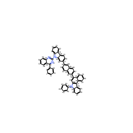 c1ccc(-c2nc(-n3c4ccccc4c4ccc(-c5ccc6cc(-c7cc8c(c9ccccc79)c7ccccc7n8-c7ccccc7)ccc6c5)cc43)nc3ccccc23)cc1